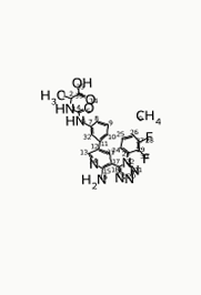 C.CC(NC(=O)Nc1cccc(-c2cnc(N)c(-c3nnnn3-c3cccc(F)c3F)c2)c1)C(=O)O